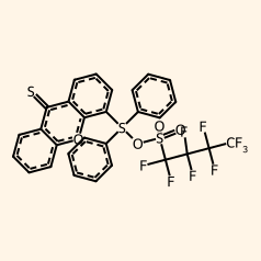 O=S(=O)(OS(c1ccccc1)(c1ccccc1)c1cccc2c(=S)c3ccccc3oc12)C(F)(F)C(F)(F)C(F)(F)C(F)(F)F